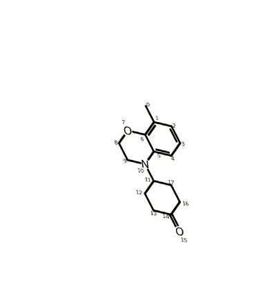 Cc1cccc2c1OCCN2C1CCC(=O)CC1